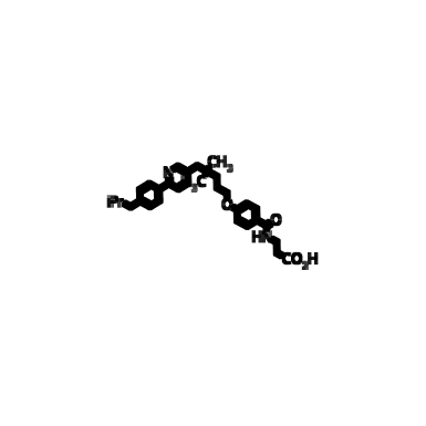 CC(C)Cc1ccc(-c2ccc(CC(C)(C)CCCOc3ccc(C(=O)NCCC(=O)O)cc3)cn2)cc1